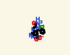 NC(=O)c1cnc2c(cc([N+](=O)[O-])c3nncc32)c(-c2ccccc2Cl)n1